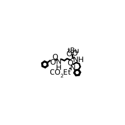 CCOC(=O)CN1C(=O)[C@@H](N[C@@H](CCCCNC(=O)OCc2ccccc2)C(=O)OC(C)(C)C)CCc2ccccc21